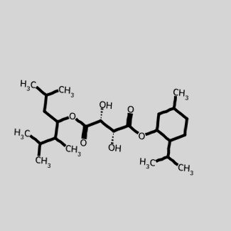 CC(C)CC(OC(=O)[C@H](O)[C@@H](O)C(=O)OC1CC(C)CCC1C(C)C)C(C)C(C)C